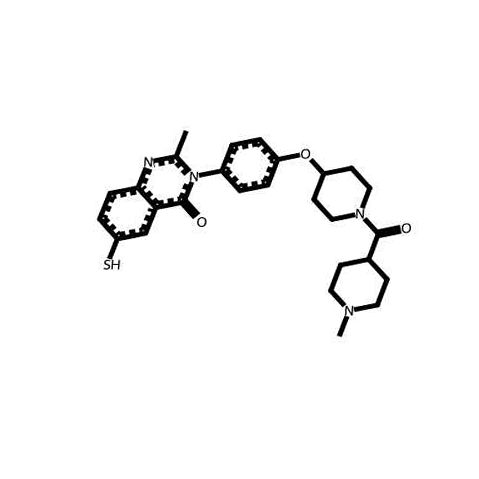 Cc1nc2ccc(S)cc2c(=O)n1-c1ccc(OC2CCN(C(=O)C3CCN(C)CC3)CC2)cc1